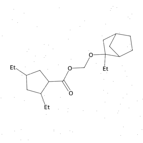 CCC1CC(CC)C(C(=O)OCOC2(CC)CC3CCC2C3)C1